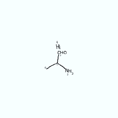 CC(N)C=O.I